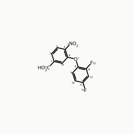 O=C(O)c1ccc([N+](=O)[O-])c(Oc2ccc(F)cc2F)c1